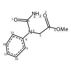 COC(=O)CN(C(N)=O)c1ccccc1